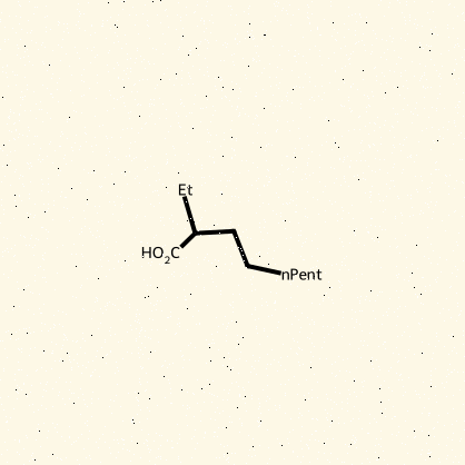 CCCCCCCC(CC)C(=O)O